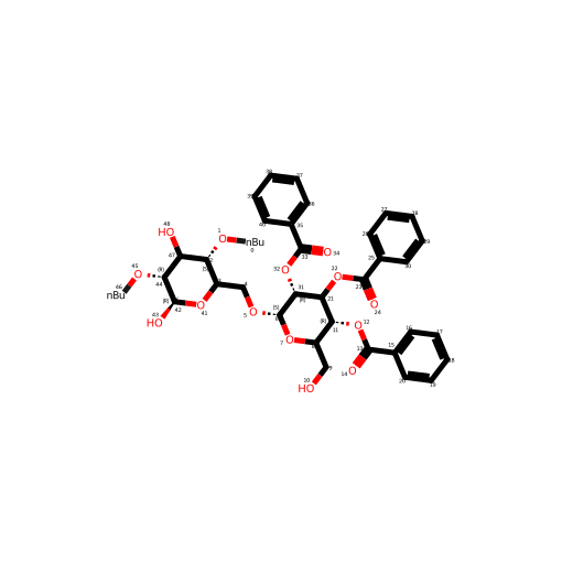 CCCCO[C@@H]1C(CO[C@H]2OC(CO)[C@@H](OC(=O)c3ccccc3)C(OC(=O)c3ccccc3)[C@H]2OC(=O)c2ccccc2)O[C@@H](O)[C@H](OCCCC)C1O